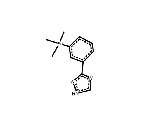 [CH3][Sn]([CH3])([CH3])[c]1cccc(-c2nc[nH]n2)c1